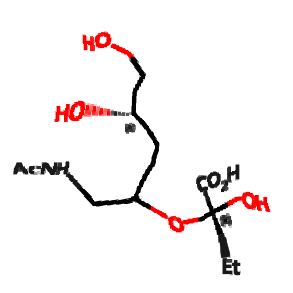 CC[C@@](O)(OC(CNC(C)=O)C[C@H](O)CO)C(=O)O